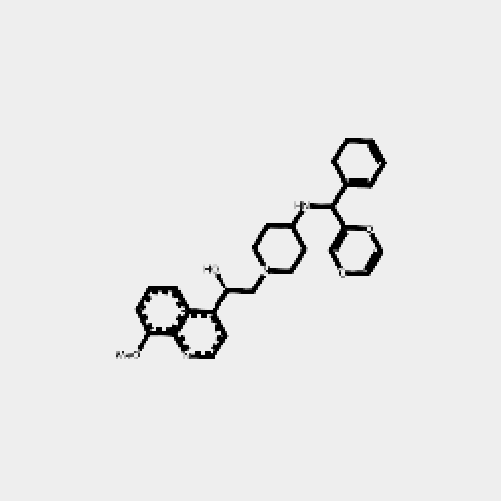 COc1cccc2c([C@@H](O)CN3CCC(NC(C4=CC=CCC4)C4=COC=CO4)CC3)ccnc12